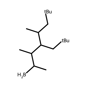 BC(C)C(C)C(CC(C)(C)C)C(C)CC(C)(C)C